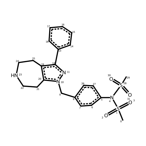 CS(=O)(=O)N(c1ccc(Cn2nc(-c3ccccc3)c3c2CCNCC3)cc1)S(C)(=O)=O